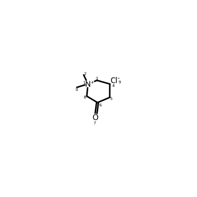 C[N+]1(C)CCCC(=O)C1.[Cl-]